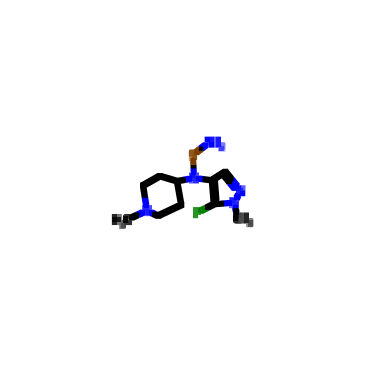 CN1CCC(N(SN)c2cnn(C)c2F)CC1